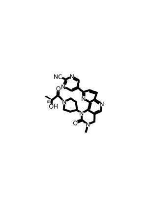 C[C@H](O)C(=O)N1CCC(N2C(=O)N(C)Cc3cnc4ccc(-c5cnc(C#N)nc5)nc4c32)CC1